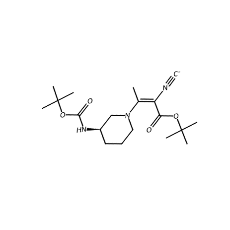 [C-]#[N+]/C(C(=O)OC(C)(C)C)=C(\C)N1CCC[C@@H](NC(=O)OC(C)(C)C)C1